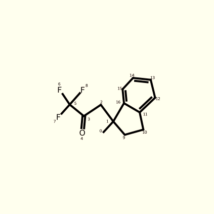 CC1(CC(=O)C(F)(F)F)CCc2ccccc21